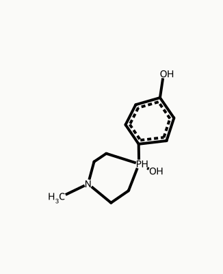 CN1CC[PH](O)(c2ccc(O)cc2)CC1